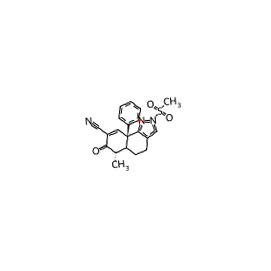 C[C@@H]1C(=O)C(C#N)=C[C@]2(c3ccccc3)c3nn(S(C)(=O)=O)cc3CCC12